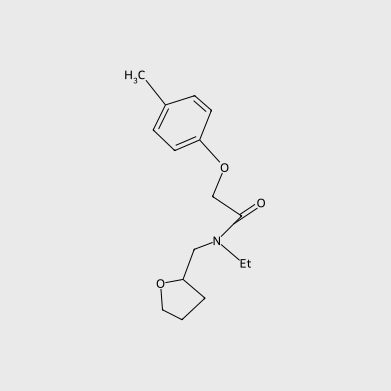 CCN(CC1CCCO1)C(=O)COc1ccc(C)cc1